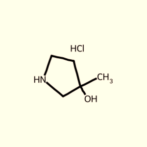 CC1(O)CCNC1.Cl